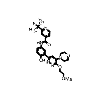 COCCOc1nnc(-c2cc(NC(=O)c3ccnc(C(C)(C)F)c3)ccc2C)cc1N1CCOCC1